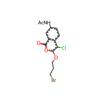 CC(=O)Nc1ccc2c(Cl)c(OCCCBr)oc(=O)c2c1